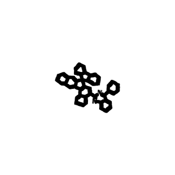 c1ccc(-c2nc(-c3cc4c(c5ccccc35)-c3cc5ccccc5cc3C43c4ccccc4-c4ccccc43)nc3ccccc23)cc1